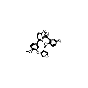 COc1ccc(OC)c(-c2nnc3ccc(-c4ccc(OC)c(O[C@@H]5CCOC5)c4)nn23)c1